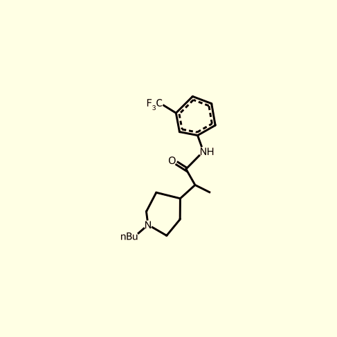 CCCCN1CCC(C(C)C(=O)Nc2cccc(C(F)(F)F)c2)CC1